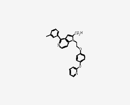 Cc1cccc(-c2nccc3c2cc(C(=O)O)n3CCOc2ccc(Oc3ccccn3)cc2)c1